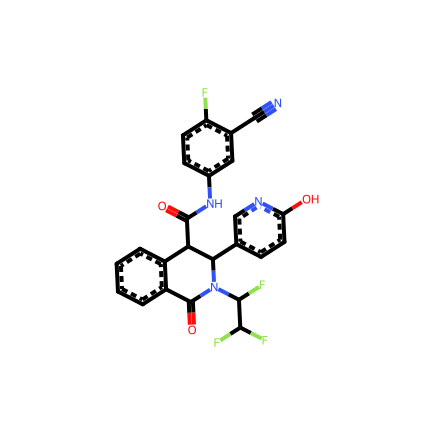 N#Cc1cc(NC(=O)C2c3ccccc3C(=O)N(C(F)C(F)F)C2c2ccc(O)nc2)ccc1F